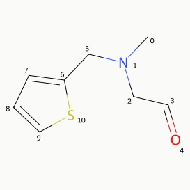 CN(CC=O)Cc1cccs1